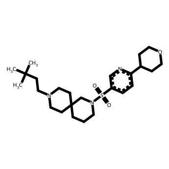 CC(C)(C)CCN1CCC2(CCCN(S(=O)(=O)c3ccc(C4CCOCC4)nc3)C2)CC1